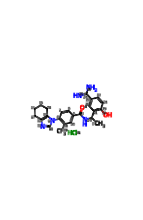 CC(NC(=O)c1ccc(-n2cnc3c2CCCC3)c(C(F)(F)F)c1)c1cc(C(=N)N)ccc1O.Cl